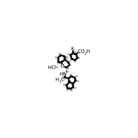 C[C@@H](NC[C@H]1C[C@@H](c2ccc(C(=O)O)c(F)c2)c2ccccc2O1)c1cccc2ccccc12.Cl